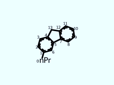 [CH2]CCc1ccc2c(c1)-c1ccccc1C2